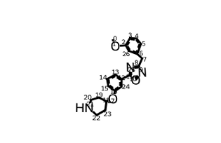 COc1cccc(Cc2noc(-c3cccc(OC4CCNCC4)c3)n2)c1